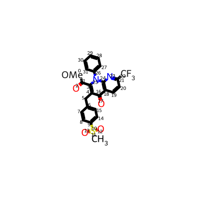 COC(=O)c1c(Cc2ccc(S(C)(=O)=O)cc2)c(=O)c2ccc(C(F)(F)F)nc2n1-c1ccccc1